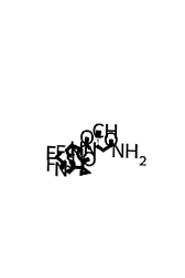 C#C[C@H](CC(N)=O)NC(=O)[C@@H]1CCCN1C(=O)C1(c2cnc(C(F)(F)F)s2)CC1